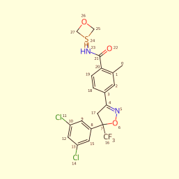 Cc1cc(C2=NOC(c3cc(Cl)cc(Cl)c3)(C(F)(F)F)C2)ccc1C(=O)N[SH]1COC1